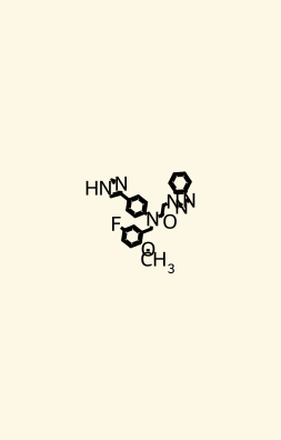 COc1ccc(F)cc1CN(C(=O)Cn1nnc2ccccc21)c1ccc(-c2c[nH]cn2)cc1